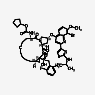 COc1ccc2c(O[C@@H]3C[C@H]4C(=O)N[C@]5(P(=O)(O)Cc6c(F)cccc6F)C[C@H]5CCCCCCC[C@H](NC(=O)OC5CCCC5)C(=O)N4C3)cc(-c3csc(NC(C)C)n3)nc2c1Br